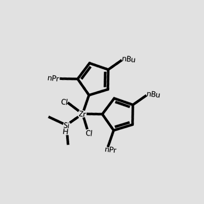 CCCCC1=C[CH]([Zr]([Cl])([Cl])([CH]2C=C(CCCC)C=C2CCC)[SiH](C)C)C(CCC)=C1